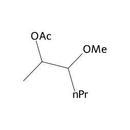 CCCC(OC)C(C)OC(C)=O